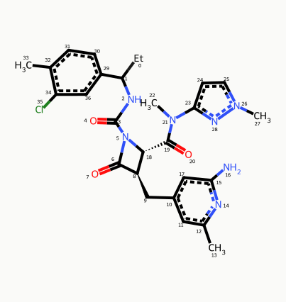 CCC(NC(=O)N1C(=O)[C@H](Cc2cc(C)nc(N)c2)[C@H]1C(=O)N(C)c1ccn(C)n1)c1ccc(C)c(Cl)c1